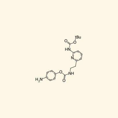 CC(C)(C)OC(=O)Nc1cccc(CCNC(=O)Oc2ccc(N)cc2)n1